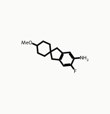 COC1CCC2(CC1)Cc1cc(N)c(F)cc1C2